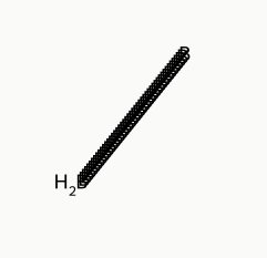 BB=BB=BB=BB=BB=BB=BB=BB=BB=BB=BB=BB=BB=BB=BB=BB=BB=BB=BB=BB=BB=BB=BB=BC